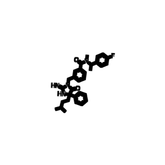 CC(C)CCC1(c2ccccc2)NC(=N)N(Cc2cccc(C(=O)N(C)C(C)c3ccc(F)cc3)c2)C1=O